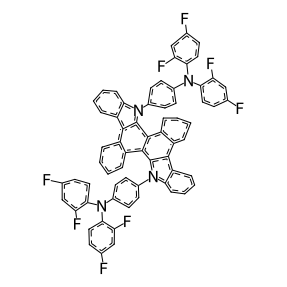 Fc1ccc(N(c2ccc(-n3c4ccccc4c4c5ccccc5c5c(c6ccccc6c6c7ccccc7n(-c7ccc(N(c8ccc(F)cc8F)c8ccc(F)cc8F)cc7)c65)c43)cc2)c2ccc(F)cc2F)c(F)c1